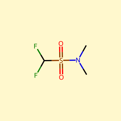 CN(C)S(=O)(=O)C(F)F